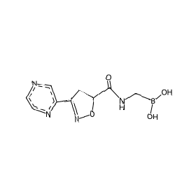 O=C(NCB(O)O)C1CC(c2cnccn2)=NO1